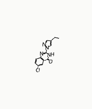 CCc1cnn(-c2nc3ccc(Cl)cc3c(=O)[nH]2)c1